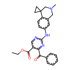 CCOC(=O)c1cnc(Nc2ccc3c(c2)CN(C)CC32CC2)nc1C(=O)c1ccccc1